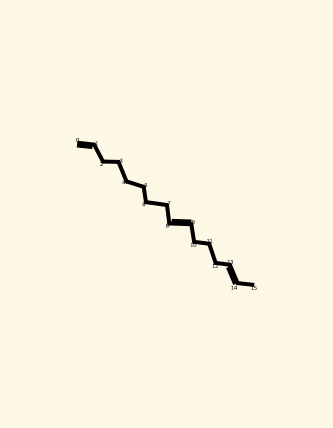 C=CCCCCCCC=CCCCC=CC